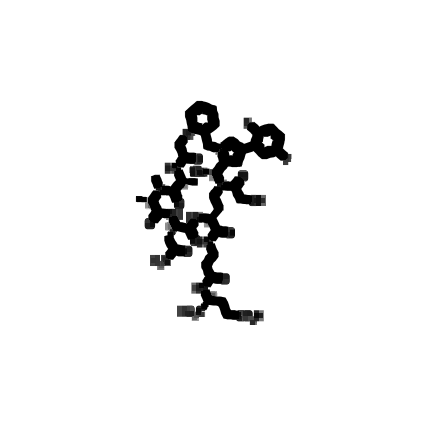 C[C@H](NC(=O)CBr)C(=O)N(C)[C@@H](C)C(=O)N[C@@H](CC(N)=O)C(=O)N[C@@H](CCN(C(=O)CO)[C@@H](c1cc(-c2cc(F)ccc2F)cn1Cc1ccccc1)C(C)(C)C)C(=O)NCCC(=O)N[C@H](CCC(=O)O)C(=O)O